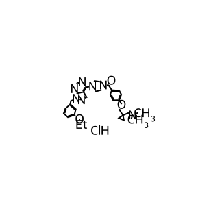 CCOc1cccc(Cn2ncc3c(N4CCN(C(=O)c5ccc(OCC6(CN(C)C)CC6)cc5)CC4)ncnc32)c1.Cl